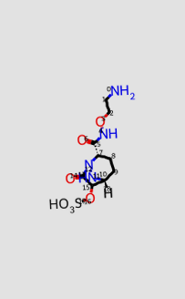 NCCONC(=O)[C@@H]1CC[C@H]2NN1C(=O)C2OS(=O)(=O)O